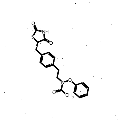 CC(=O)N(CCc1ccc(CC2SC(=O)NC2=O)cc1)Oc1ccccc1